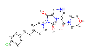 O=C(C1CNCC2C(=O)N(N3CCC(CCc4ccc(Cl)cc4)CC3)C(=O)N12)N1CCOCC1